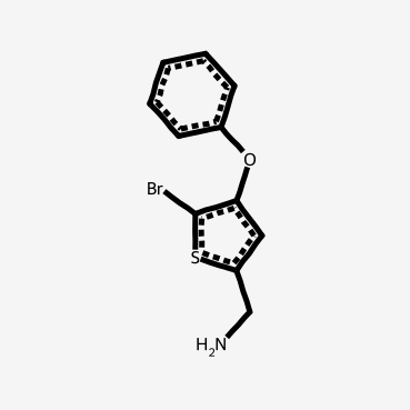 NCc1cc(Oc2ccccc2)c(Br)s1